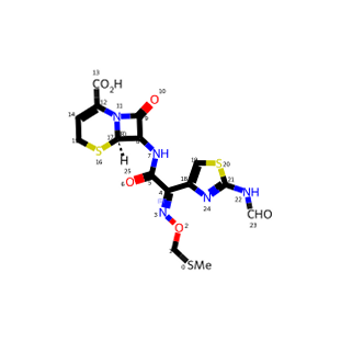 CSCO/N=C(/C(=O)NC1C(=O)N2C(C(=O)O)=CCS[C@H]12)c1csc(NC=O)n1